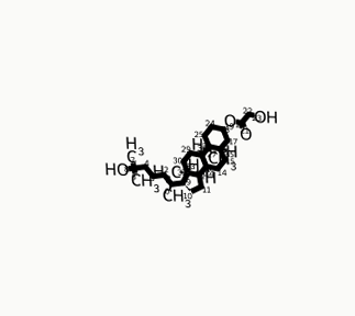 C[C@H](CCCC(C)(C)O)[C@H]1CC[C@H]2[C@@H]3CC[C@H]4C[C@@H](OC(=O)CO)CC[C@]4(C)[C@H]3CC[C@]12C